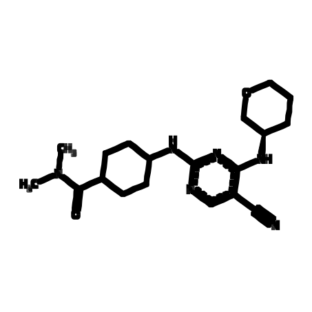 CN(C)C(=O)C1CCC(Nc2ncc(C#N)c(N[C@@H]3CCCOC3)n2)CC1